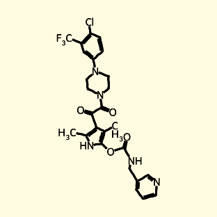 Cc1[nH]c(OC(=O)NCc2cccnc2)c(C)c1C(=O)C(=O)N1CCN(c2ccc(Cl)c(C(F)(F)F)c2)CC1